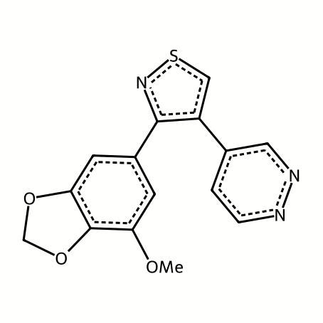 COc1cc(-c2nscc2-c2ccnnc2)cc2c1OCO2